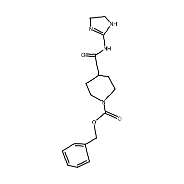 O=C(NC1=NCCN1)C1CCN(C(=O)OCc2ccccc2)CC1